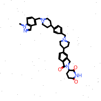 Cn1ncc2cc(CN3CCC(c4ccc(CN5CCC(c6ccc7c(c6)CN(C6CCC(=O)NC6=O)C7=O)CC5)cc4)CC3)ccc21